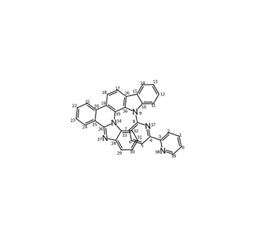 c1ccc(-c2cccc(-n3c4ccccc4c4ccc5c6ccccc6c6nc7ccccc7n6c5c43)n2)nc1